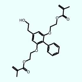 C=C(C)C(=O)OCCOc1cc(CCO)cc(OCCOC(=O)C(=C)C)c1-c1ccccc1